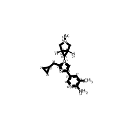 CC(=O)N1C[C@@H]2[C@H](C1)[C@H]2n1cc(-c2cnc(N)c(C)c2)nc1CC1CC1